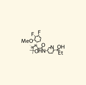 CC[C@@H](O)c1ccc(NC(=O)[C@H]2OC(C)(C)[C@H](C)[C@@H]2c2ccc(F)c(F)c2OC)cn1